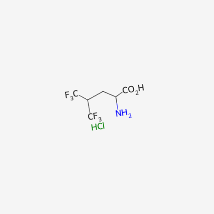 Cl.NC(CC(C(F)(F)F)C(F)(F)F)C(=O)O